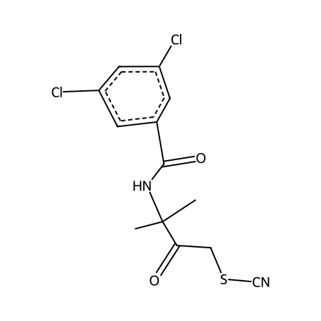 CC(C)(NC(=O)c1cc(Cl)cc(Cl)c1)C(=O)CSC#N